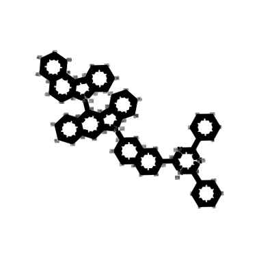 c1ccc(-c2nc(-c3ccccc3)nc(-c3ccc4ccc(-n5c6ccccc6c6c(-n7c8ccccc8c8c9ccccc9ccc87)c7ccccc7cc65)cc4c3)n2)cc1